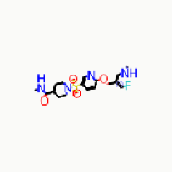 CNC/C(=C\F)COc1ccc(S(=O)(=O)N2CCC(C(=O)NC)CC2)cn1